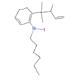 C=CC(C)C(C)(C)C1=C(N(I)CCCCCC)C=CCC1